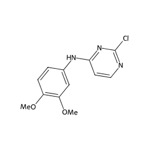 COc1ccc(Nc2ccnc(Cl)n2)cc1OC